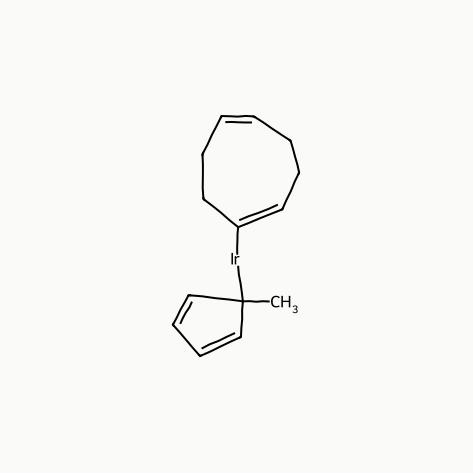 C[C]1([Ir][C]2=CCCC=CCC2)C=CC=C1